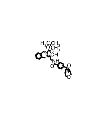 CC(C)(C)OC(=O)N1Cc2ccccc2C[C@H]1[C@H](O)CNC(=O)c1ccc(C(=O)N2C3CCC2COC3)cc1